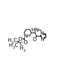 CC(C)(C)OC(=O)N1CCCC(C2NCn3ccnc3C2=O)C1